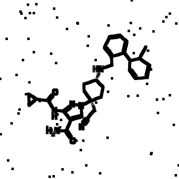 CC1C=CC=CC1c1ccccc1CN[C@H]1CC[C@](CC#N)(n2cc(C(N)=O)c(NC(=O)C3CC3)n2)CC1